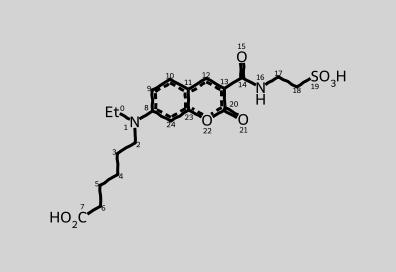 CCN(CCCCCC(=O)O)c1ccc2cc(C(=O)NCCS(=O)(=O)O)c(=O)oc2c1